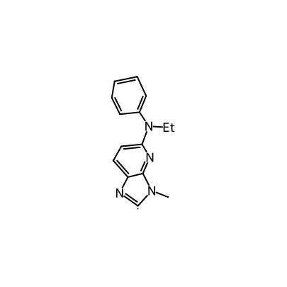 CCN(c1ccccc1)c1ccc2n[c]n(C)c2n1